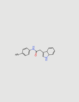 CCCc1ccc(NC(=O)CC2=CNC3C=CC=CC23)cc1